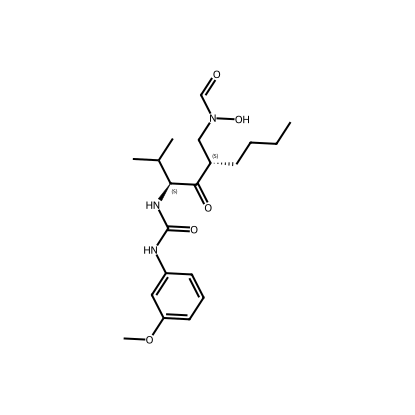 CCCC[C@@H](CN(O)C=O)C(=O)[C@@H](NC(=O)Nc1cccc(OC)c1)C(C)C